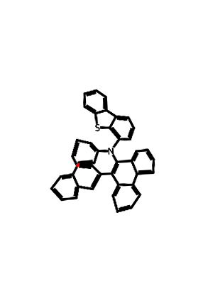 c1ccc(N(c2c(-c3ccc4ccccc4c3)c3ccccc3c3ccccc23)c2cccc3c2sc2ccccc23)cc1